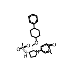 Cn1cc(N2CC[C@H](NS(C)(=O)=O)[C@@H]2COC2CCC(c3ccccc3)CC2)ccc1=O